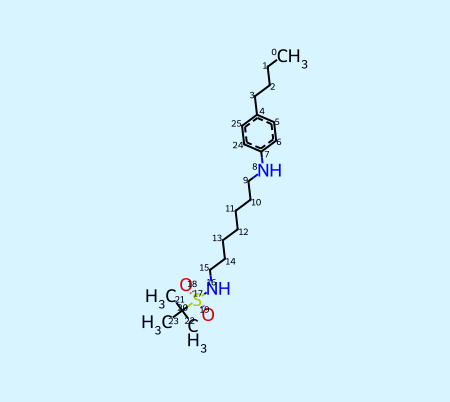 CCCCc1ccc(NCCCCCCCNS(=O)(=O)C(C)(C)C)cc1